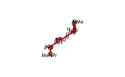 CN[C@@H](CC(C)C)C(=O)OCCCCCCOC(=O)[C@@H](CC(C)C)NC(=O)CCCCCCCCC(=O)NCCCCC(NC(=O)CCCCCCCCC(=O)CCC(=O)CCCCCCCCC(=O)N[C@H](CC(C)C)C(=O)O[C@H]1CCC2C3CCc4cc(OC(=O)[C@H](CC(C)C)NC)ccc4C3CC[C@@]21C)C(=O)OCc1ccccc1